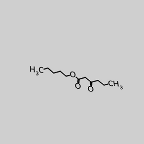 CCCCCOC(=O)CC(=O)CCC